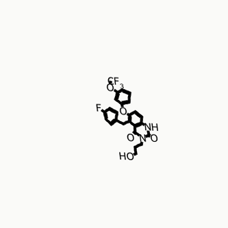 O=c1[nH]c2ccc(Oc3cccc(OC(F)(F)F)c3)c(Cc3ccc(F)cc3)c2c(=O)n1CCCO